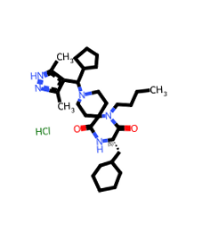 CCCCN1C(=O)[C@H](CC2CCCCC2)NC(=O)C12CCN(C(c1c(C)n[nH]c1C)C1CCCC1)CC2.Cl